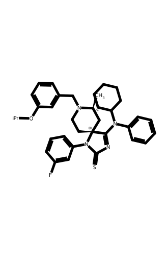 CC(C)Oc1cccc(CN2CC[C@@]3(C[C@@H]2C)C(N(c2ccccc2)C2CCCCC2)=NC(=S)N3c2cccc(F)c2)c1